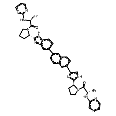 CC(C)[C@H](Nc1cnccn1)C(=O)N1CCC[C@H]1c1nc(-c2ccc3cc(-c4ccc5[nH]c([C@@H]6CCCN6C(=O)[C@@H](Nc6ncccn6)C(C)C)nc5c4)ccc3c2)c[nH]1